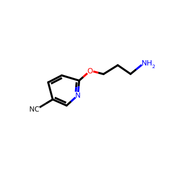 N#Cc1ccc(OCCCN)nc1